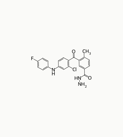 Cc1ccc(C(=O)NN)cc1C(=O)c1ccc(Nc2ccc(F)cc2)cc1Cl